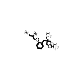 CCC(C)(CC)Cc1ccccc1OCC(Br)CBr